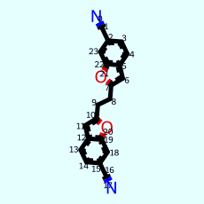 N#Cc1ccc2cc(CCc3cc4ccc(C#N)cc4o3)oc2c1